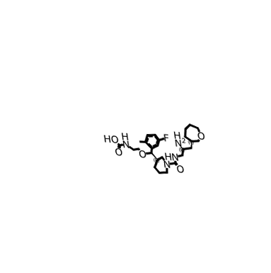 Cc1ccc(F)cc1C(OCCNC(=O)O)[C@@H]1CCCN(C(=O)NC[C@H](N)C[C@H]2CCCCOC2)C1